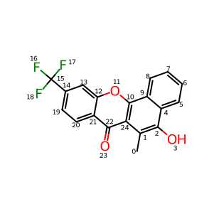 Cc1c(O)c2ccccc2c2oc3cc(C(F)(F)F)ccc3c(=O)c12